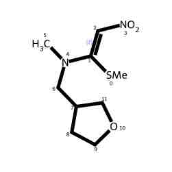 CS/C(=C\[N+](=O)[O-])N(C)CC1CCOC1